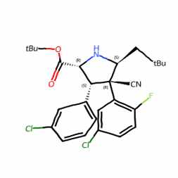 CC(C)(C)C[C@@H]1N[C@@H](C(=O)OC(C)(C)C)[C@@H](c2cccc(Cl)c2)[C@@]1(C#N)c1cc(Cl)ccc1F